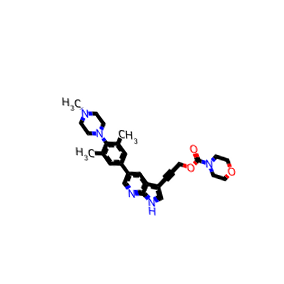 Cc1cc(-c2cnc3[nH]cc(C#CCOC(=O)N4CCOCC4)c3c2)cc(C)c1N1CCN(C)CC1